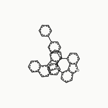 c1ccc(-c2ccc(N(c3ccccc3)c3cccc4oc5cccc(-n6c7ccccc7c7c8ccccc8ccc76)c5c34)cc2)cc1